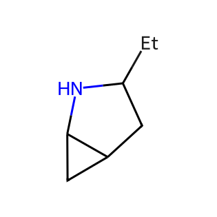 CCC1CC2CC2N1